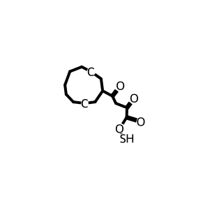 O=C(CC(=O)C1CCCCCCCCC1)C(=O)OS